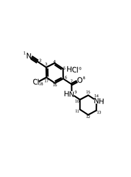 Cl.N#Cc1ccc(C(=O)NC2CCCNC2)cc1Cl